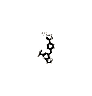 Cn1cc(-c2ccc(Cc3cc(C(=O)O)nc4c3OCC4)cc2)nn1